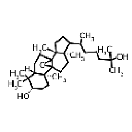 CC(CCCC(C)(C)O)C1CC[C@@]2(C)C34CC[C@H]5C(C)(C)[C@@H](O)CC[C@]5(C)C3(CC[C@]12C)O4